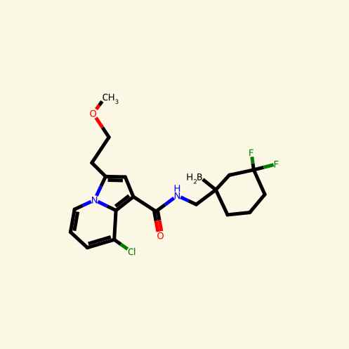 BC1(CNC(=O)c2cc(CCOC)n3cccc(Cl)c23)CCCC(F)(F)C1